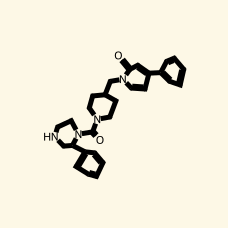 O=C(N1CCC(Cn2ccc(-c3ccccc3)cc2=O)CC1)N1CCNCC1c1ccccc1